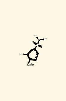 CCN(CC)S(=O)(=O)c1ccc(OC)c([NH])c1